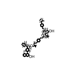 Cc1ncsc1-c1ccc(CNC(=O)C2CC(O)CN2C(=O)[C@@H](NC(=O)CCc2ccc(CN(C)CC3(COc4nc(N5C[C@H]6CC[C@@](C)(C5)N6)c5cc(F)c(-c6cc(O)cc7ccccc67)c(F)c5n4)CC3)cc2)C(C)(C)C)cc1